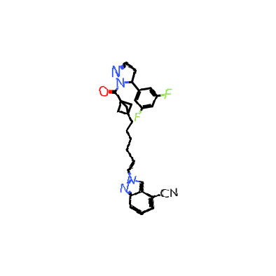 N#Cc1cccc2nn(CCCCCCC34CC(C(=O)N5N=CCC5c5cc(F)cc(F)c5)(C3)C4)cc12